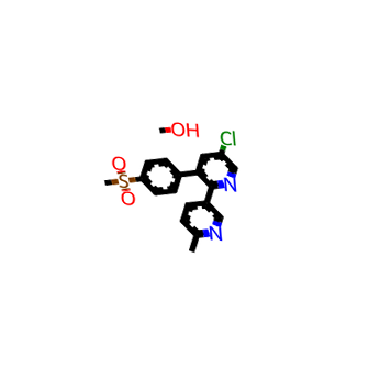 CO.Cc1ccc(-c2ncc(Cl)cc2-c2ccc(S(C)(=O)=O)cc2)cn1